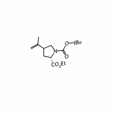 C=C(C)C1C[C@@H](C(=O)OCC)N(C(=O)OC(C)(C)C)C1